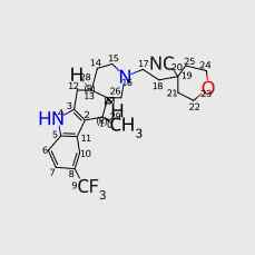 C[C@H]1c2c([nH]c3ccc(C(F)(F)F)cc23)C[C@H]2CCN(CCC3(C#N)CCOCC3)C[C@@H]21